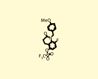 COc1ccc(CN2C(=O)CCc3c(OS(=O)(=O)C(F)(F)F)ccc(F)c32)cc1